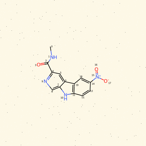 CNC(=O)c1cc2c(cn1)[nH]c1ccc([N+](=O)[O-])cc12